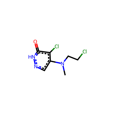 CN(CCCl)c1cn[nH]c(=O)c1Cl